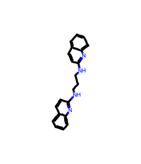 c1ccc2nc(NCCCNc3ccc4ccccc4n3)ccc2c1